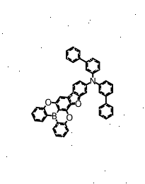 c1ccc(-c2cccc(N(c3cccc(-c4ccccc4)c3)c3ccc4c(c3)oc3c5c6c(cc34)Oc3ccccc3B6c3ccccc3O5)c2)cc1